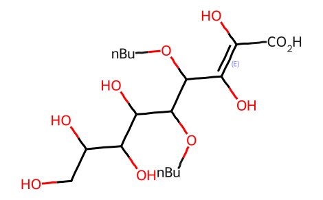 CCCCOC(/C(O)=C(\O)C(=O)O)C(OCCCC)C(O)C(O)C(O)CO